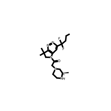 CCCC(F)(F)c1cc2c(nn1)C(C)(C)CN2C(=O)CN1CCN[C@H](C)C1